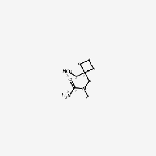 CN(CC1(CO)CCC1)C(N)=O